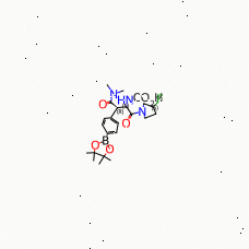 CN(C)C(=O)[C@H](c1ccc(B2OC(C)(C)C(C)(C)O2)cc1)[C@H](NC(=O)O)C(=O)N1CC[C@H](F)C1